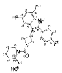 O=C([C@H]1C[C@H](c2c(-c3ccc(F)cc3)[nH]c3c(F)cc(F)cc32)C1)N1CCCC[C@@H]1CO